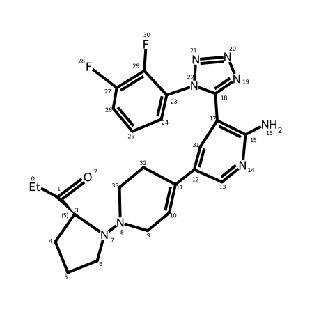 CCC(=O)[C@@H]1CCCN1N1CC=C(c2cnc(N)c(-c3nnnn3-c3cccc(F)c3F)c2)CC1